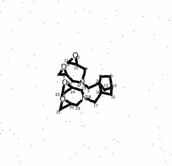 C1CC2(CN(CC3CO3)CC3CO3)CC1CC2CN(CC1CO1)CC1CO1